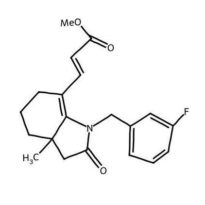 COC(=O)C=CC1=C2N(Cc3cccc(F)c3)C(=O)CC2(C)CCC1